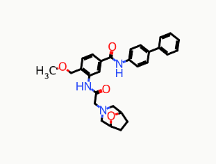 COCc1ccc(C(=O)Nc2ccc(-c3ccccc3)cc2)cc1NC(=O)CN1CC2CCC(C1)O2